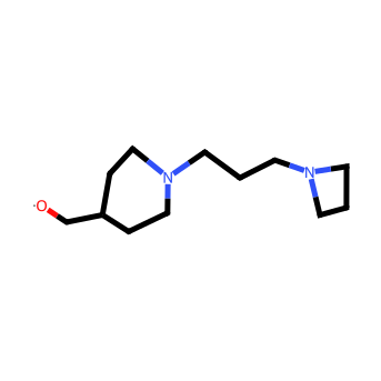 [O]CC1CCN(CCCN2CCC2)CC1